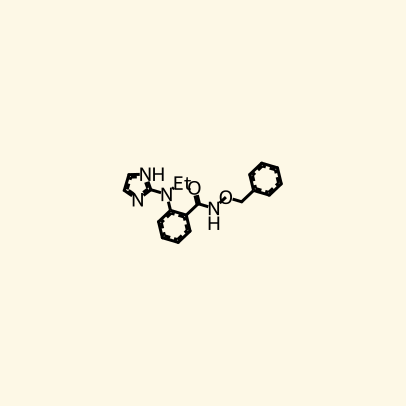 CCN(c1ncc[nH]1)c1ccccc1C(=O)NOCc1ccccc1